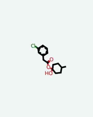 CC1CCC(O)(OC(=O)Cc2cccc(Cl)c2)CC1